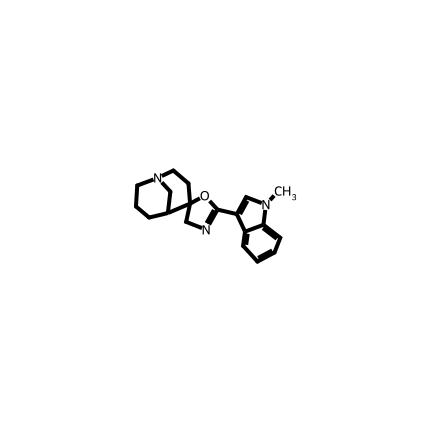 Cn1cc(C2=NCC3(CCN4CCCC3C4)O2)c2ccccc21